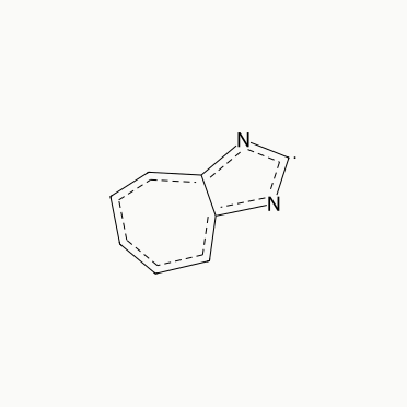 [c]1nc2cccccc-2n1